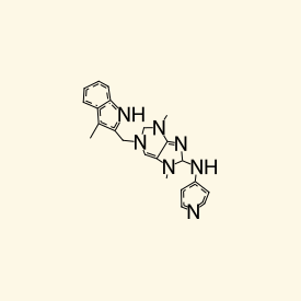 Cc1c(CN2C=C3C(=NC(Nc4ccncc4)N3C)N(C)C2)[nH]c2ccccc12